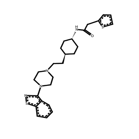 O=C(Cc1cccs1)N[C@H]1CC[C@H](CCN2CCN(c3nsc4ccccc34)CC2)CC1